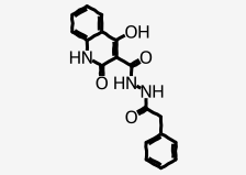 O=C(Cc1ccccc1)NNC(=O)c1c(O)c2ccccc2[nH]c1=O